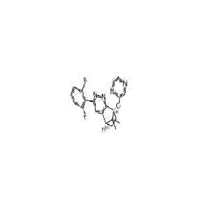 CC1(C)[C@H]2CC[C@]1(Oc1cnccn1)c1nnc(-c3c(F)cccc3F)cc12